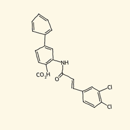 O=C(C=Cc1ccc(Cl)c(Cl)c1)Nc1cc(-c2ccccc2)ccc1C(=O)O